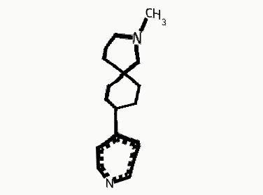 CN1CCC2(CCC(c3ccncc3)CC2)C1